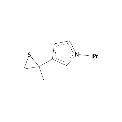 CC(C)n1ccc(C2(C)CS2)c1